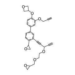 C#CCOc1cc(-c2ccc(C3CO3)c(C#CC(C#C)OCCOCC3CO3)c2)ccc1OC1COC1